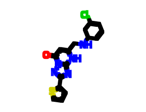 O=c1cc(CNC2C=CC=C(Cl)C2)[nH]c2nc(-c3cccs3)nn12